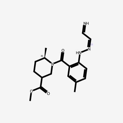 COC(=O)C1CC[C@@H](C)N(C(=O)c2cc(C)ccc2N/N=C\C=N)C1